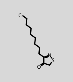 O=C1CSN=C1CCCCCCCCCl